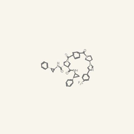 O=C(N[C@H]1C[C@@H]1c1ccccc1)[C@@H]1CN(C(=O)c2ccc(C(=O)N3CC[C@@H](n4cnc(-c5ccc(C(F)(F)F)cc5)c4)C3)cc2)C[C@H]1C(=O)N[C@H]1C[C@@H]1c1ccccc1